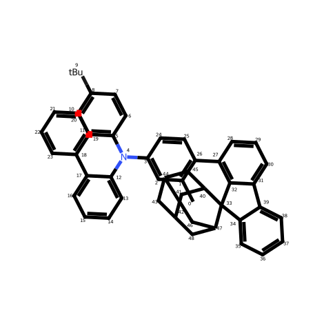 Cc1cc(N(c2ccc(C(C)(C)C)cc2)c2ccccc2-c2ccccc2)ccc1-c1cccc2c1C1(c3ccccc3-2)C2CC3CC(C2)CC1C3